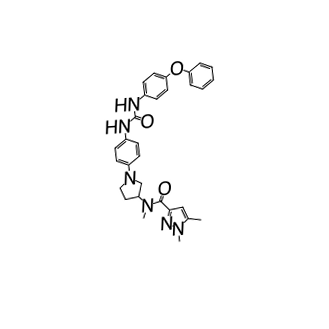 Cc1cc(C(=O)N(C)C2CCN(c3ccc(NC(=O)Nc4ccc(Oc5ccccc5)cc4)cc3)C2)nn1C